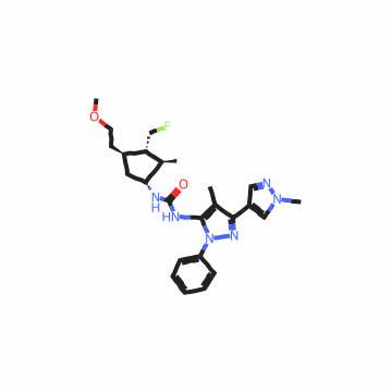 COCC[C@@H]1C[C@@H](NC(=O)Nc2c(C)c(-c3cnn(C)c3)nn2-c2ccccc2)[C@H](C)[C@H]1CF